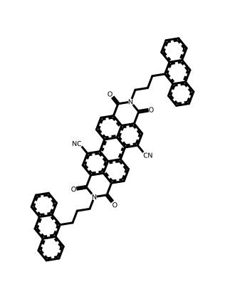 N#Cc1cc2c3c(ccc4c5c(C#N)cc6c7c(ccc(c1c34)c75)C(=O)N(CCCc1c3ccccc3cc3ccccc13)C6=O)C(=O)N(CCCc1c3ccccc3cc3ccccc13)C2=O